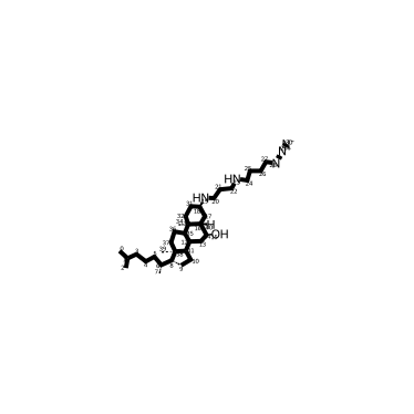 CC(C)CCC[C@@H](C)[C@H]1CCC2C3C[C@@H](O)[C@H]4C[C@H](NCCCNCCCCN=[N+]=[N-])CC[C@]4(C)C3CC[C@@]21C